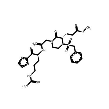 C=C(CN1CCN(S(=O)(=O)Cc2ccccc2)[C@@H](CCC(=O)OC)C1=O)N[C@@H](CCCNC(=N)N)C(=O)c1nccs1